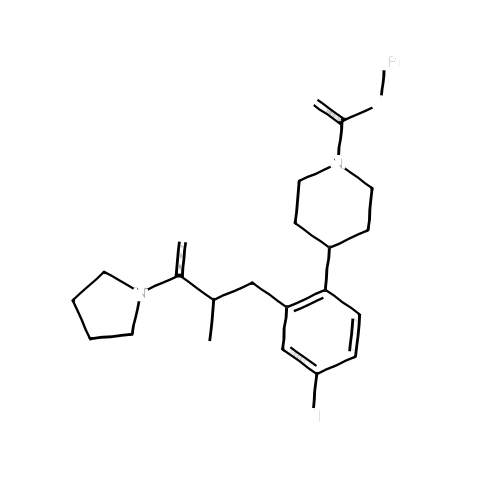 CC(Cc1cc(Cl)ccc1C1CCN(C(=O)OC(C)(C)C)CC1)C(=O)N1CCCC1